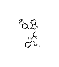 NC[C@H](NC(=O)CCc1nc2cccnc2n1Cc1ccc(OC(F)(F)F)cc1)c1ccccc1